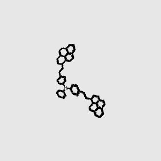 C1=CC(C=Cc2ccc(N(c3ccccc3)c3ccc(C=Cc4ccc5ccc6cccc7ccc4c5c67)cc3)cc2)c2ccc3cccc4c3c2C1=CC4